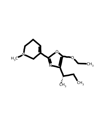 CCOc1oc(C2=CCCN(C)C2)nc1[C@@H](C)CC